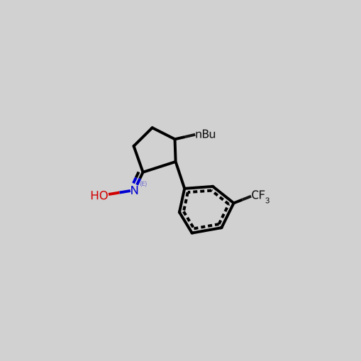 CCCCC1CC/C(=N\O)C1c1cccc(C(F)(F)F)c1